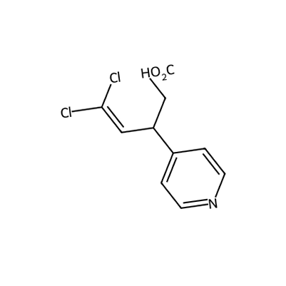 O=C(O)CC(C=C(Cl)Cl)c1ccncc1